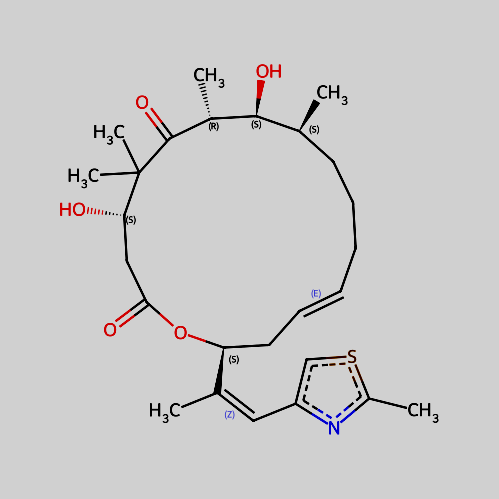 C/C(=C/c1csc(C)n1)[C@@H]1C/C=C/CCC[C@H](C)[C@H](O)[C@@H](C)C(=O)C(C)(C)[C@@H](O)CC(=O)O1